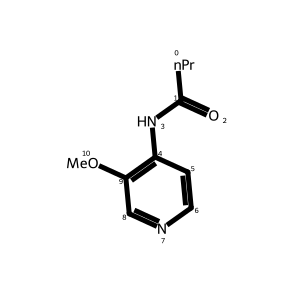 CCCC(=O)Nc1ccncc1OC